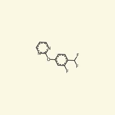 Fc1cc(Oc2ncccn2)[c]cc1C(F)F